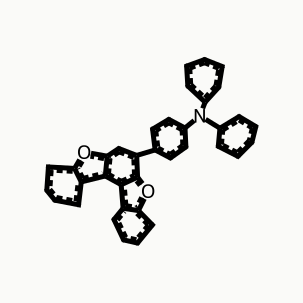 c1ccc(N(c2ccccc2)c2ccc(-c3cc4oc5ccccc5c4c4c3oc3ccccc34)cc2)cc1